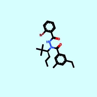 CCC[C@H](N(NC(=O)c1ccccc1Br)C(=O)c1cc(C)cc(CC)c1)C(C)(C)C